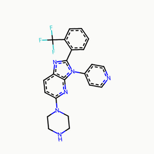 FC(F)(F)c1ccccc1-c1nc2ccc(N3CCNCC3)nc2n1-c1ccncc1